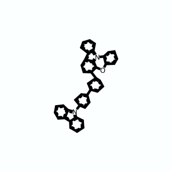 c1cc(-c2ccc(-n3c4ccccc4c4ccccc43)cc2)cc(-c2ccc3c4ccccc4n4c3c2Oc2ccccc2-4)c1